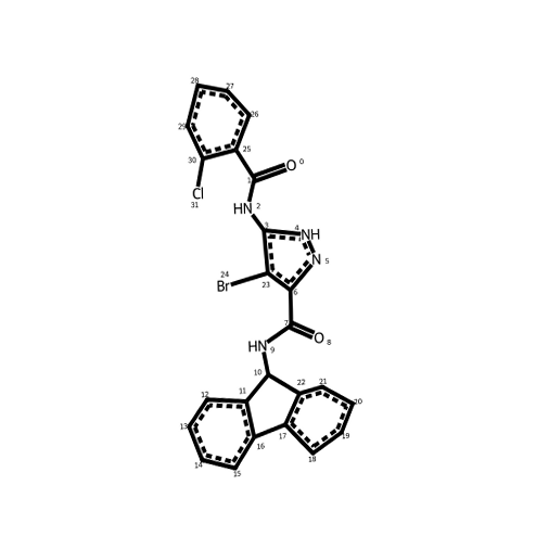 O=C(Nc1[nH]nc(C(=O)NC2c3ccccc3-c3ccccc32)c1Br)c1ccccc1Cl